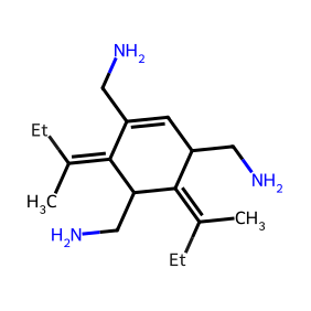 CCC(C)=C1C(CN)=CC(CN)C(=C(C)CC)C1CN